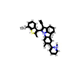 C#Cc1c(-c2c(C)sc3c(C(C)(C)C)cccc23)n2c3cc(C)c(-c4cccc[n+]4C)cc3c3cccc1c32